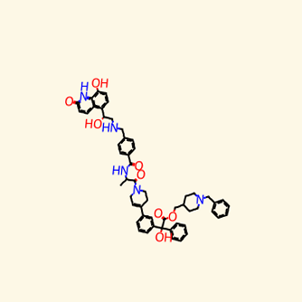 CC(NC(=O)c1ccc(CNCC(O)c2ccc(O)c3[nH]c(=O)ccc23)cc1)C(=O)N1CC=C(c2cccc(C(O)(C(=O)OCC3CCN(Cc4ccccc4)CC3)c3ccccc3)c2)CC1